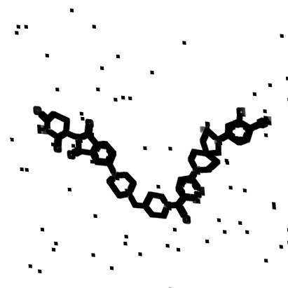 C[C@H]1CC2(CCN(c3ccc(C(=O)N4CCC(CN5CCN(c6ccc7c(c6)C(=O)N(C6CCC(=O)NC6=O)C7=O)CC5)CC4)nn3)CC2)CN1c1ccc(C#N)c(Cl)c1